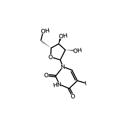 O=c1[nH]c(=O)n(C2O[C@H](CO)[C@@H](O)[C@@H]2O)cc1I